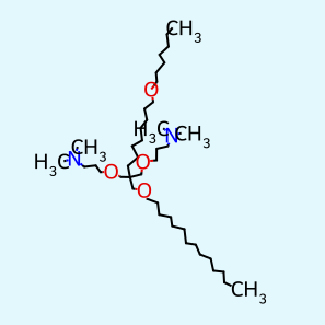 CCCCCCCCCCCCCCOCC(CCCCCCCCOCCCCCCC)(COCCCN(C)C)COCCCN(C)C